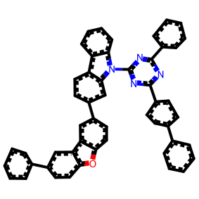 c1ccc(-c2ccc(-c3nc(-c4ccccc4)nc(-n4c5ccccc5c5ccc(-c6ccc7oc8ccc(-c9ccccc9)cc8c7c6)cc54)n3)cc2)cc1